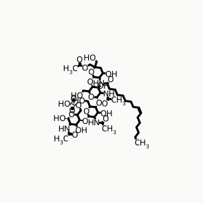 CCCCCC/C=C\CCCCCCCC(=O)NC1C(O)CC(CO)(COC(C)=O)O[C@H]1O[C@@H]1C(CO)O[C@@H](O[C@@H]2C(CO)O[C@@H](O[C@@H]3C(COS(=O)(=O)O)O[C@@H](O)C(NC(C)=O)C3O)C(NC(C)=O)C2O)C(NC(C)=O)C1O